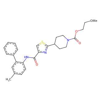 COCCOC(=O)N1CCC(c2nc(C(=O)Nc3ccc(C)cc3-c3ccccc3)cs2)CC1